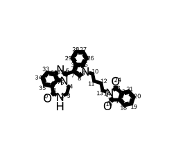 O=C1NCCn2c(-c3cn(CCCCN4C(=O)c5ccccc5C4=O)c4ccccc34)nc3cccc1c32